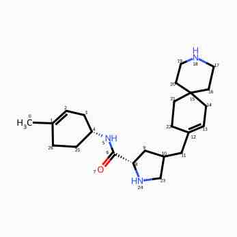 CC1=CC[C@H](NC(=O)[C@@H]2CC(CC3=CCC4(CCNCC4)CC3)CN2)CC1